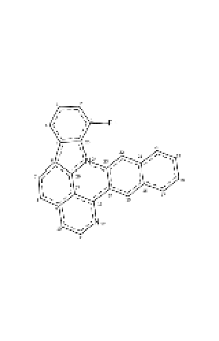 Fc1cccc2c3ccc4ccnc5c6cc7ccccc7cc6n(c12)c3c45